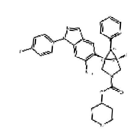 Cc1cc2c(cnn2-c2ccc(F)cc2)cc1[C@]12CN(C(=O)OC3CCOCC3)C[C@H]1[C@@H]2c1ccccc1